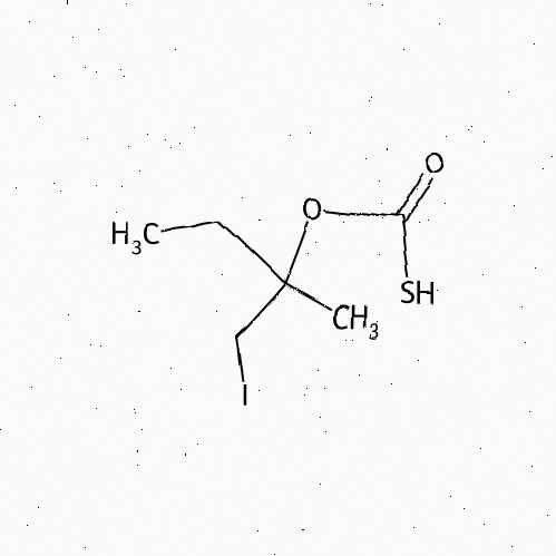 CCC(C)(CI)OC(=O)S